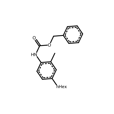 CCCCCCc1ccc(NC(=O)OCc2ccccc2)c(C)c1